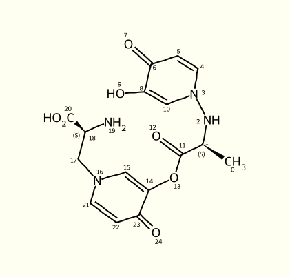 C[C@H](Nn1ccc(=O)c(O)c1)C(=O)Oc1cn(C[C@H](N)C(=O)O)ccc1=O